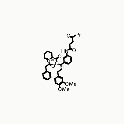 COc1ccc(CC[C@@H](OC(=O)[C@@H]2CCCCN2C(=O)Cc2ccccc2)c2cccc(NC(=O)CCC(=O)C(C)C)c2)cc1OC